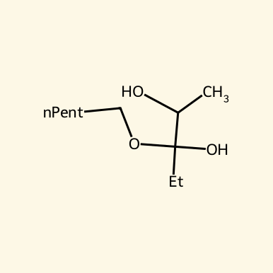 CCCCCCOC(O)(CC)C(C)O